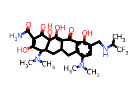 CC(NCc1cc(N(C)C)c2c(c1O)C(=O)C1=C(O)C3(O)C(=O)C(C(N)=O)=C(O)C(N(C)C)C3CC1C2)C(F)(F)F